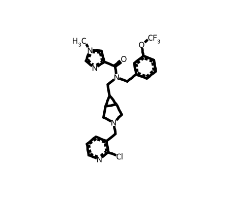 Cn1cnc(C(=O)N(Cc2cccc(OC(F)(F)F)c2)CC2C3CN(Cc4cccnc4Cl)CC32)c1